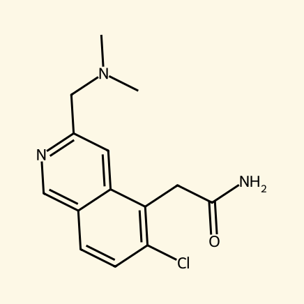 CN(C)Cc1cc2c(CC(N)=O)c(Cl)ccc2cn1